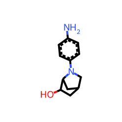 Nc1ccc(N2CC3CC(O)C2C3)cc1